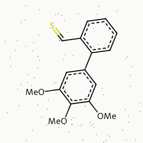 COc1cc(-c2ccccc2[C]=S)cc(OC)c1OC